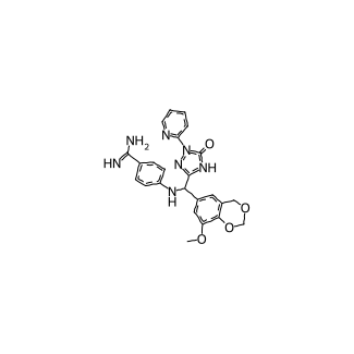 COc1cc(C(Nc2ccc(C(=N)N)cc2)c2nn(-c3ccccn3)c(=O)[nH]2)cc2c1OCOC2